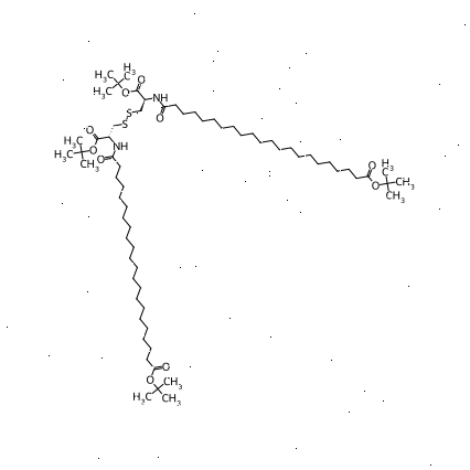 CC(C)(C)OC(=O)CCCCCCCCCCCCCCCCCCCCC(=O)N[C@@H](CSSC[C@H](NC(=O)CCCCCCCCCCCCCCCCCCCCC(=O)OC(C)(C)C)C(=O)OC(C)(C)C)C(=O)OC(C)(C)C